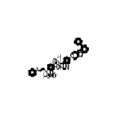 COC1(Cc2ccccc2-c2ccccc2)CCN(c2ccc3c(NS(=O)(=O)c4ccc(NCCSc5ccccc5)c([N+](=O)[O-])c4)ncnc3c2)CC1